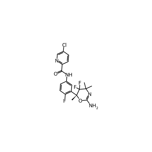 CC1(C)N=C(N)O[C@](C)(c2cc(NC(=O)c3ccc(Cl)cn3)ccc2F)C1(F)F